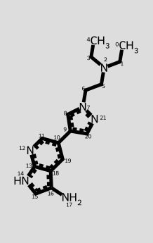 CCN(CC)CCn1cc(-c2cnc3[nH]cc(N)c3c2)cn1